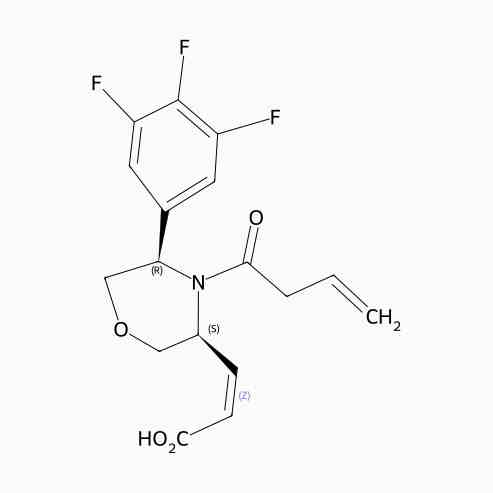 C=CCC(=O)N1[C@@H](/C=C\C(=O)O)COC[C@H]1c1cc(F)c(F)c(F)c1